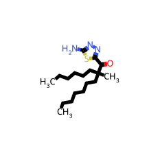 CCCCCCCC(C)(CCCCCC)C(=O)c1nnc(N)s1